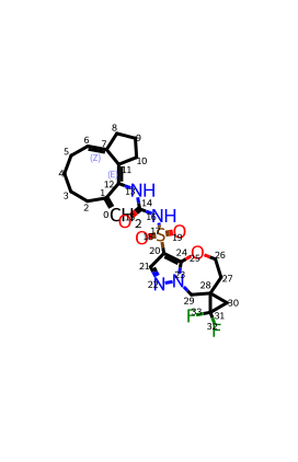 C=C1CCCC/C=C2/CCC/C2=C/1NC(=O)NS(=O)(=O)c1cnn2c1OCCC1(C2)CC1(F)F